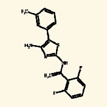 C=C(Nc1nc(N)c(-c2cccc(C(F)(F)F)c2)s1)c1c(F)cccc1F